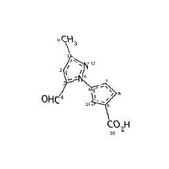 Cc1cc(C=O)n(-c2ccc(C(=O)O)s2)n1